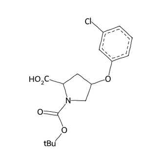 CC(C)(C)OC(=O)N1CC(Oc2cccc(Cl)c2)CC1C(=O)O